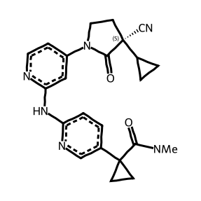 CNC(=O)C1(c2ccc(Nc3cc(N4CC[C@@](C#N)(C5CC5)C4=O)ccn3)nc2)CC1